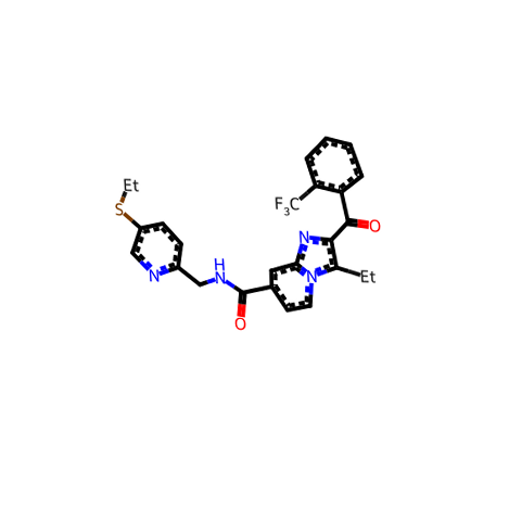 CCSc1ccc(CNC(=O)c2ccn3c(CC)c(C(=O)c4ccccc4C(F)(F)F)nc3c2)nc1